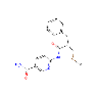 CC(=O)SCC(Cc1ccccc1)C(=O)Nc1ccc(C(N)=O)cn1